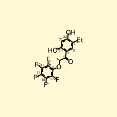 CCc1cc(C(=O)COc2c(F)c(F)c(F)c(F)c2F)c(O)cc1O